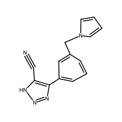 N#Cc1[nH]nnc1-c1cccc(Cn2cccc2)c1